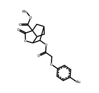 CCC(C)c1ccc(OCC(=O)OC2C3CC4C2OC(=O)C4(C(=O)OC(C)(C)C)C3)cc1